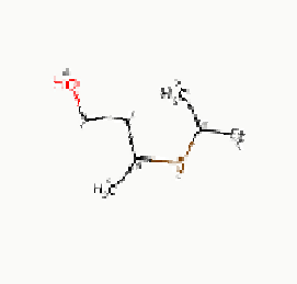 CCC(C)SC(C)CCO